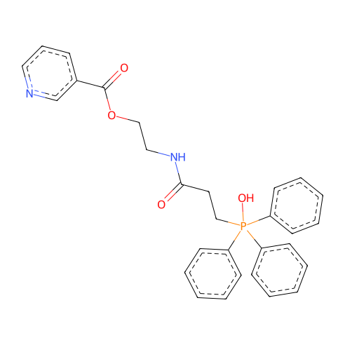 O=C(CCP(O)(c1ccccc1)(c1ccccc1)c1ccccc1)NCCOC(=O)c1cccnc1